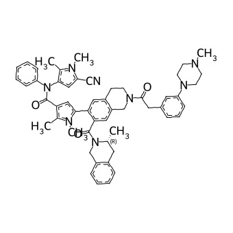 Cc1c(N(C(=O)c2cc(-c3cc4c(cc3C(=O)N3Cc5ccccc5C[C@H]3C)CN(C(=O)Cc3cccc(N5CCN(C)CC5)c3)CC4)n(C)c2C)c2ccccc2)cc(C#N)n1C